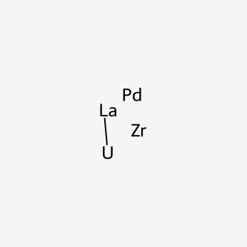 [La][U].[Pd].[Zr]